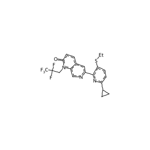 CCSc1ccc(C2CC2)nc1-c1cc2ccc(=O)n(CC(F)(F)C(F)(F)F)c2cn1